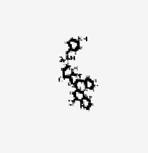 O=c1cc([S+]([O-])NCc2ccc(O)cc2)[nH]c2nc(-c3ccccc3)c(-c3cc(Cl)c4ncccc4c3)cc12